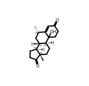 C[C@H]1C[C@@H]2[C@H](CC[C@]3(C)C(=O)CC[C@@H]23)C2(O)CCC(=O)C=C12